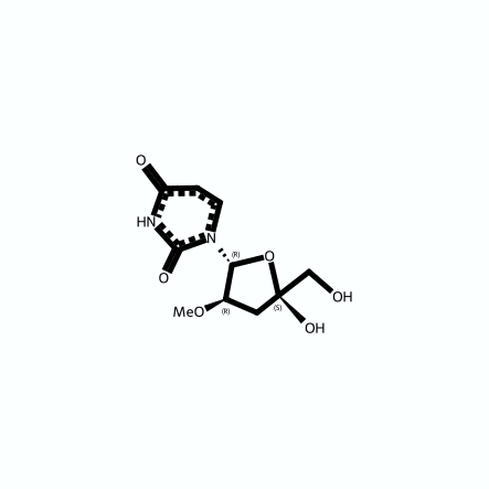 CO[C@@H]1C[C@@](O)(CO)O[C@H]1n1ccc(=O)[nH]c1=O